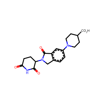 O=C1CCC(N2Cc3ccc(N4CCC(C(=O)O)CC4)cc3C2=O)C(=O)N1